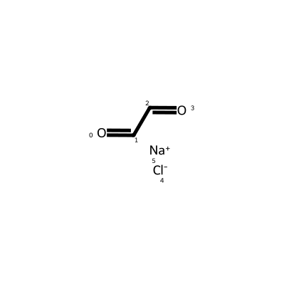 O=CC=O.[Cl-].[Na+]